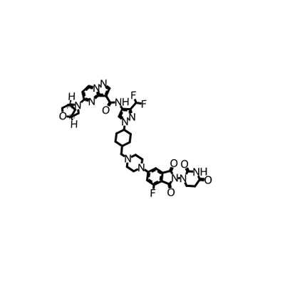 O=C1CCN(N2C(=O)c3cc(N4CCN(CC5CCC(n6cc(NC(=O)c7cnn8ccc(N9C[C@H]%10C[C@@H]9CO%10)nc78)c(C(F)F)n6)CC5)CC4)cc(F)c3C2=O)C(=O)N1